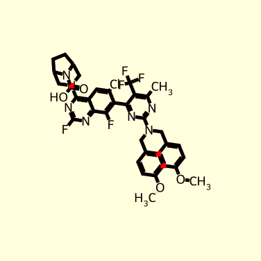 COc1ccc(CN(Cc2ccc(OC)cc2)c2nc(C)c(C(F)(F)F)c(-c3c(Cl)cc4c(N5CC6CCC(C5)N6C(=O)O)nc(F)nc4c3F)n2)cc1